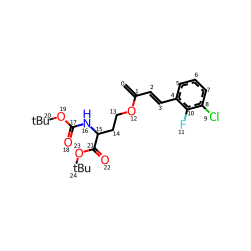 C=C(/C=C/c1cccc(Cl)c1F)OCCC(NC(=O)OC(C)(C)C)C(=O)OC(C)(C)C